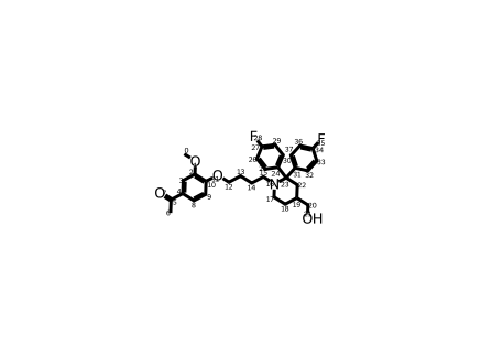 COc1cc(C(C)=O)ccc1OCCCCN1CCC(CO)CC1(c1ccc(F)cc1)c1ccc(F)cc1